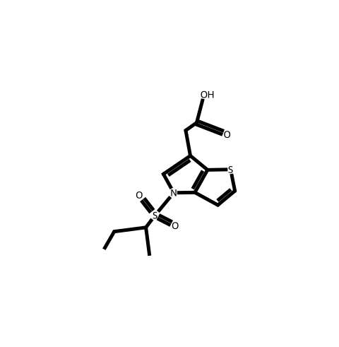 CCC(C)S(=O)(=O)n1cc(CC(=O)O)c2sccc21